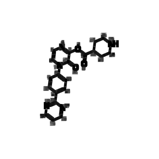 O=C(Oc1nccn(-c2ccc(-c3ncccn3)cc2)c1=O)C1CCNCC1